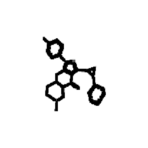 CN1CCC2Cc3c(c(C4CC4c4ccccc4)nn3-c3ccc(I)cc3)C(=O)C2C1